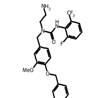 COc1cc(CN(CCN)C(=O)Nc2c(F)cccc2C(F)(F)F)ccc1OCc1ccccc1